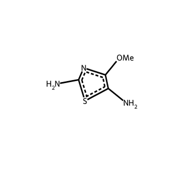 COc1nc(N)sc1N